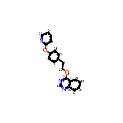 c1ccc(Oc2ccc(CCOc3ncnc4ccccc34)cc2)nc1